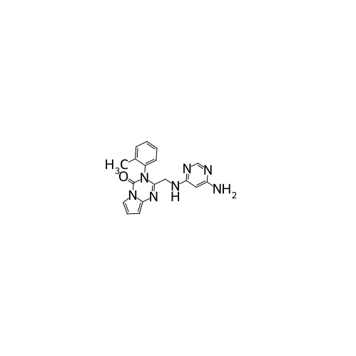 Cc1ccccc1-n1c(CNc2cc(N)ncn2)nc2cccn2c1=O